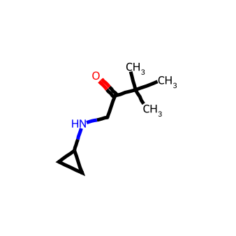 CC(C)(C)C(=O)CNC1CC1